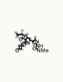 CNC(=O)Nc1nc(C)c(-c2cc3c(c(N4CC5(CC(=O)C5)C4)n2)C(=O)N([C@@H](C)C2CC2)C3)s1